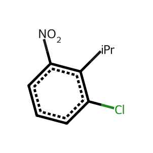 CC(C)c1c(Cl)cccc1[N+](=O)[O-]